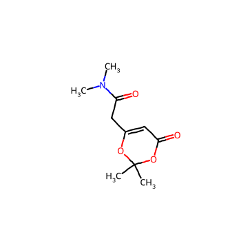 CN(C)C(=O)CC1=CC(=O)OC(C)(C)O1